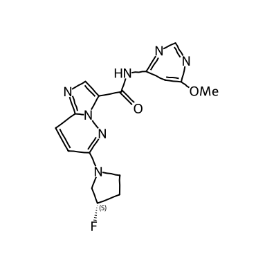 COc1cc(NC(=O)c2cnc3ccc(N4CC[C@H](F)C4)nn23)ncn1